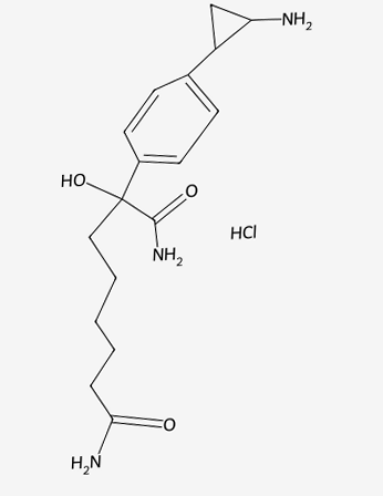 Cl.NC(=O)CCCCCC(O)(C(N)=O)c1ccc(C2CC2N)cc1